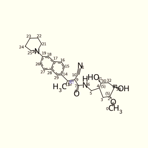 CO[C@H]1CC(CNC(=O)/C(C#N)=C(\C)c2ccc3cc(N4CCCCC4)ccc3c2)[C@@H](O)C[C@H]1O